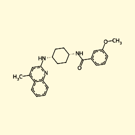 COc1cccc(C(=O)N[C@H]2CC[C@@H](Nc3cc(C)c4ccccc4n3)CC2)c1